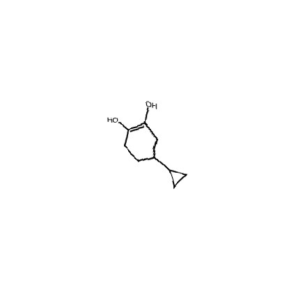 OC1=C(O)CC(C2CC2)CC1